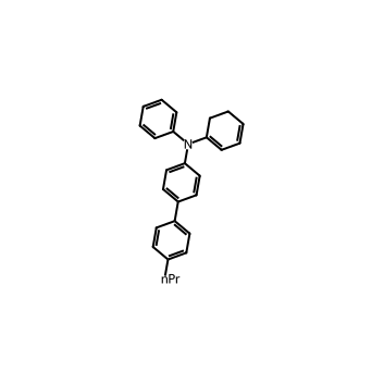 CCCc1ccc(-c2ccc(N(C3=CC=CCC3)c3ccccc3)cc2)cc1